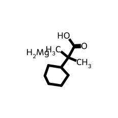 CC(C)(C(=O)O)C1CCCCC1.[MgH2]